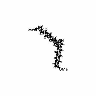 COCCOC(C)C(C)OC(C)C(C)OC(C)C(C)OC(C)C(C)OC(C)C(C)OC(C)C(C)OC(C)C(C)OC(C)C(C)OP(=O)(O)OC(C)C(C)OC(C)C(C)OC(C)C(C)OC(C)C(C)OC(C)C(C)OC(C)C(C)OC(C)C(C)OC(C)C(C)OCCOC